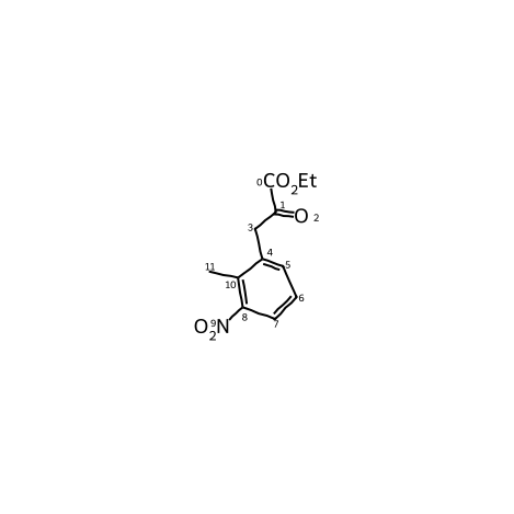 CCOC(=O)C(=O)Cc1cccc([N+](=O)[O-])c1C